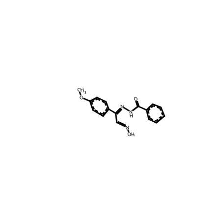 COc1ccc(C(/C=N/O)=N/NC(=O)c2ccccc2)cc1